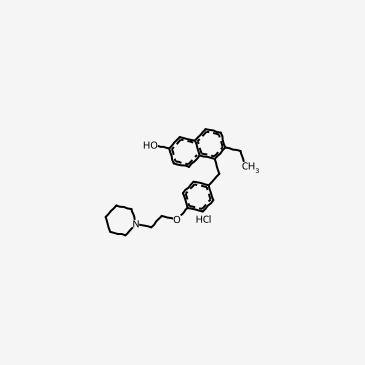 CCc1ccc2cc(O)ccc2c1Cc1ccc(OCCN2CCCCC2)cc1.Cl